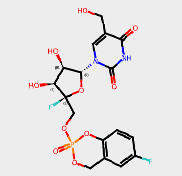 O=c1[nH]c(=O)n([C@@H]2O[C@](F)(COP3(=O)OCc4cc(F)ccc4O3)[C@@H](O)[C@H]2O)cc1CO